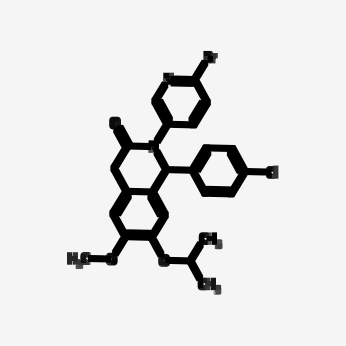 COc1cc2c(cc1OC(C)C)C(c1ccc(Cl)cc1)N(c1ccc(Br)nc1)C(=O)C2